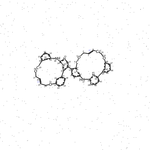 C1=C/COCc2cc(ccc2-c2cnc3nc2-c2cccc(c2)OC/C=C/COCc2cccc(c2)N3)Nc2nccc(n2)-c2cccc(c2)OCC/1